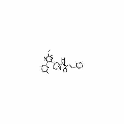 CCc1nc(-c2cccc(C)c2)c(-c2ccnc(NC(=O)C=Cc3ccccc3)c2)s1